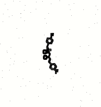 O=C(C=Cc1ccc(F)cc1)C[S+]([O-])C=Cc1ccc(F)cc1